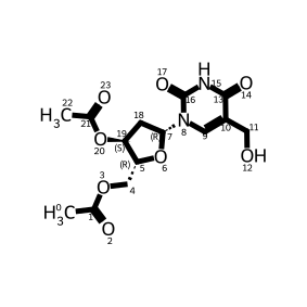 CC(=O)OC[C@H]1O[C@@H](n2cc(CO)c(=O)[nH]c2=O)C[C@@H]1OC(C)=O